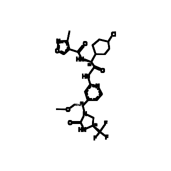 COC[C@H](c1ccnc(NC(=O)[C@@H](NC(=O)c2conc2C)C2CCC(Cl)CC2)c1)N1C[C@@H](C(F)(F)F)NC1=O